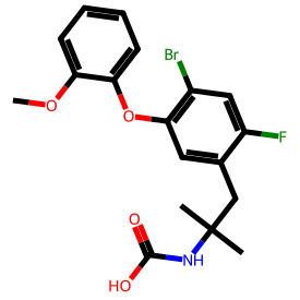 COc1ccccc1Oc1cc(CC(C)(C)NC(=O)O)c(F)cc1Br